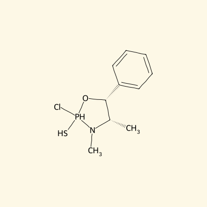 C[C@H]1[C@@H](c2ccccc2)O[PH](S)(Cl)N1C